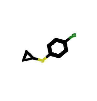 Clc1ccc(SC2CC2)cc1